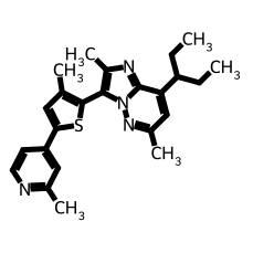 CCC(CC)c1cc(C)nn2c(-c3sc(-c4ccnc(C)c4)cc3C)c(C)nc12